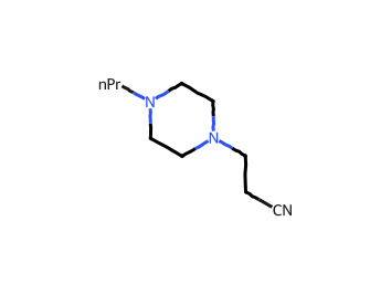 CCCN1CCN(CCC#N)CC1